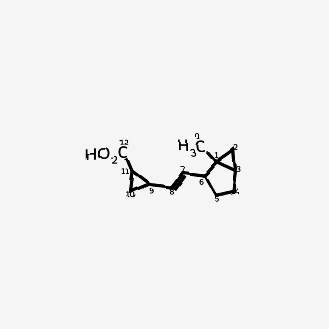 CC12CC1CCC2/C=C/C1CC1C(=O)O